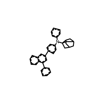 c1ccc(-c2cc(-c3ccc(N(c4ccccc4)C45CC6CC(CC4C6)C5)cc3)cc3ccccc23)cc1